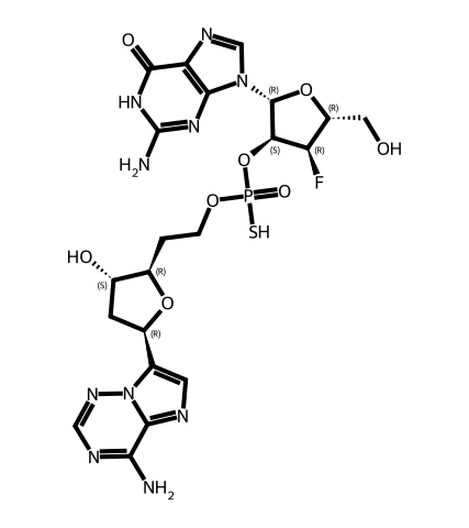 Nc1nc2c(ncn2[C@@H]2O[C@H](CO)[C@@H](F)[C@H]2OP(=O)(S)OCC[C@H]2O[C@@H](c3cnc4c(N)ncnn34)C[C@@H]2O)c(=O)[nH]1